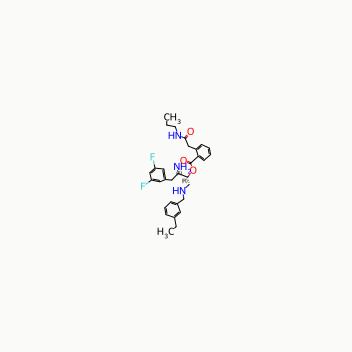 CCCNC(=O)Cc1ccccc1C(=O)O[C@H](CNCc1cccc(CC)c1)[C@@H](N)Cc1cc(F)cc(F)c1